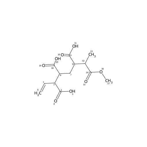 C=CC(C(=O)O)C(CC(C(=O)O)C(C)C(=O)OC)C(=O)O